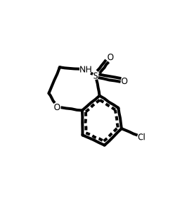 O=S1(=O)NCCOc2ccc(Cl)cc21